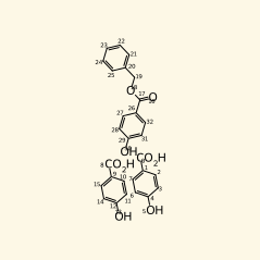 O=C(O)c1ccc(O)cc1.O=C(O)c1ccc(O)cc1.O=C(OCc1ccccc1)c1ccc(O)cc1